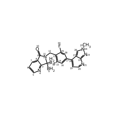 BC1(B)c2ncccc2C(=O)N1Cc1c(F)cc(-c2ccnc3nn(C)cc23)cc1F